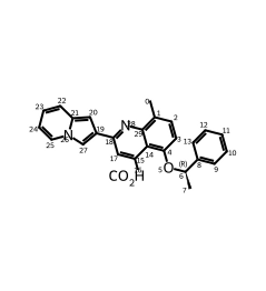 Cc1ccc(O[C@H](C)c2ccccc2)c2c(C(=O)O)cc(-c3cc4ccccn4c3)nc12